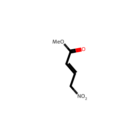 COC(=O)C=CC[N+](=O)[O-]